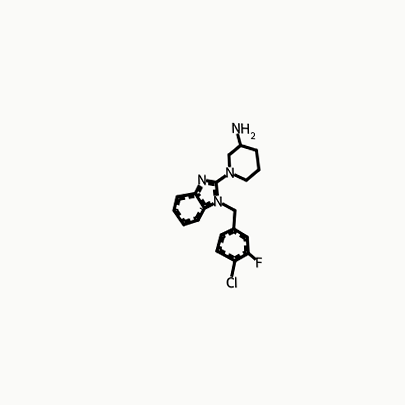 NC1CCCN(c2nc3ccccc3n2Cc2ccc(Cl)c(F)c2)C1